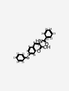 O=C(O)/C(=C\c1ccc(Sc2ccccc2)cc1)NC(=O)c1ccccc1